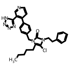 CCCCCc1c(Cl)n(CCc2ccccc2)c(=O)n1Cc1ccc(-c2ccncc2-c2nnn[nH]2)cc1